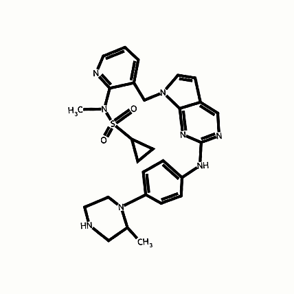 CC1CNCCN1c1ccc(Nc2ncc3ccn(Cc4cccnc4N(C)S(=O)(=O)C4CC4)c3n2)cc1